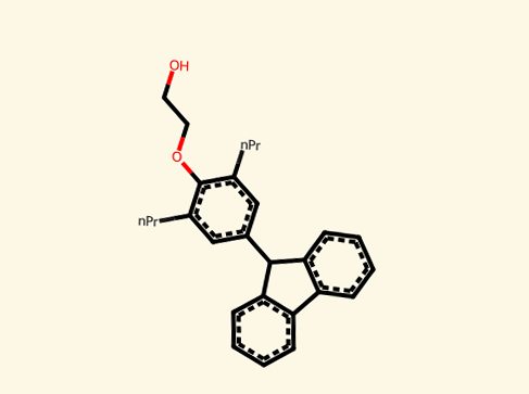 CCCc1cc(C2c3ccccc3-c3ccccc32)cc(CCC)c1OCCO